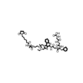 CCOCc1nc2c(NC(=O)CNC(=O)[C@H](Cc3ccccc3)NC(=O)CNC(=O)CNC(=O)O)nc3ccccc3c2n1CC(C)(C)OCCNC(=O)C(C)(C)NC(=O)CCCCCN1C(=O)C=CC1=O